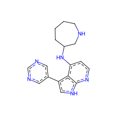 c1ncc(-c2c[nH]c3nccc(NC4CCCCNC4)c23)cn1